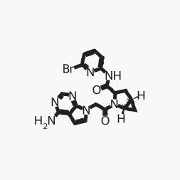 Nc1ncnc2c1ccn2CC(=O)N1C(C(=O)Nc2cccc(Br)n2)C[C@H]2C[C@@H]21